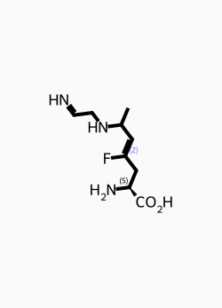 CC(/C=C(\F)C[C@H](N)C(=O)O)NCC=N